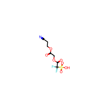 N#CCCOC(=O)COC(=O)C(F)(F)S(=O)(=O)O